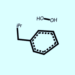 CC(C)Cc1ccccc1.OO